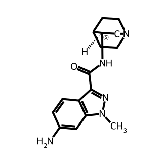 Cn1nc(C(=O)N[C@@H]2CN3CCC2CC3)c2ccc(N)cc21